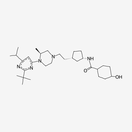 CC(C)c1cc(N2CCN(CC[C@@H]3CC[C@H](NC(=O)C4CCC(O)CC4)C3)C[C@@H]2C)nc(C(C)(C)C)n1